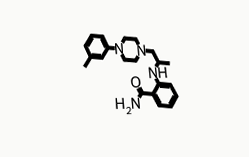 Cc1cccc(N2CCN(CC(C)Nc3ccccc3C(N)=O)CC2)c1